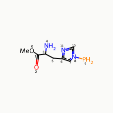 COC(=O)C(N)Cc1cn(P)cn1